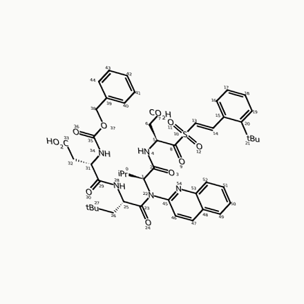 CC(C)[C@@H](C(=O)N[C@@H](CC(=O)O)C(=O)S(=O)(=O)C=Cc1ccccc1C(C)(C)C)N(C(=O)[C@H](CC(C)(C)C)NC(=O)[C@H](CC(=O)O)NC(=O)OCc1ccccc1)c1ccc2ccccc2n1